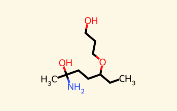 CCC(CCC(C)(N)O)OCCCO